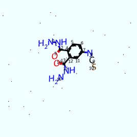 NNC(=O)c1ccc(N=C=S)cc1C(=O)NN